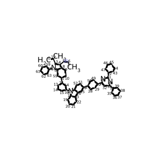 C=C(C)c1c(/C=C\C)c2ccc(-c3cccc(-n4c5ccccc5c5cc(-c6ccc(-c7cc(-c8ccccc8)nc(-c8ccccc8)n7)cc6)ccc54)c3)cc2n1-c1ccccc1